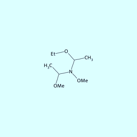 CCOC(C)N(OC)C(C)OC